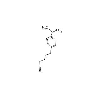 [C]#CCCCCc1ccc(C(C)C)cc1